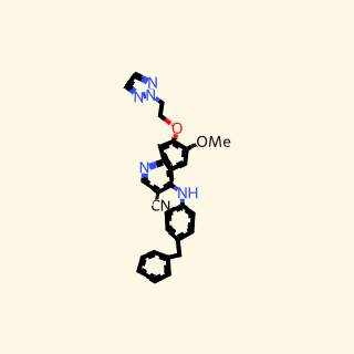 COc1cc2c(Nc3ccc(Cc4ccccc4)cc3)c(C#N)cnc2cc1OCCn1nccn1